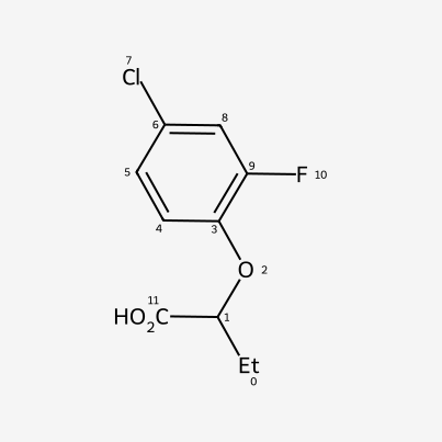 CCC(Oc1ccc(Cl)cc1F)C(=O)O